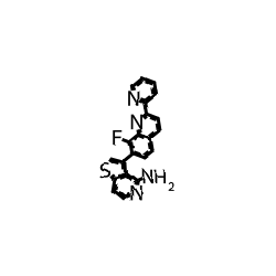 Nc1nccc2scc(-c3ccc4ccc(-c5ccccn5)nc4c3F)c12